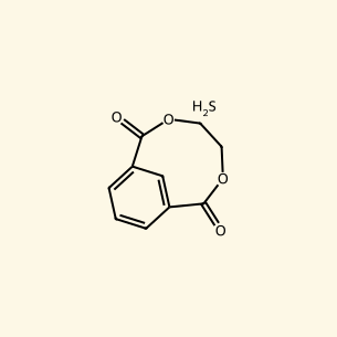 O=C1OCCOC(=O)c2cccc1c2.S